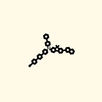 C#Cc1ccc(-c2ccc(-c3ccc(N(c4ccc(-c5ccccc5)cc4)c4ccc5c(c4)C(C)(C)c4cc(-c6ccc7ccccc7c6)ccc4-5)cc3)cc2)cc1